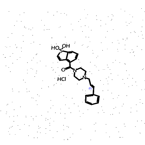 Cl.O=C(c1cccc2c1C=CS2(O)O)N1CCN(C/C=C/c2ccccc2)CC1